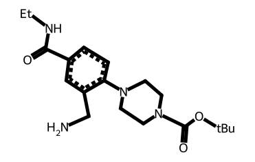 CCNC(=O)c1ccc(N2CCN(C(=O)OC(C)(C)C)CC2)c(CN)c1